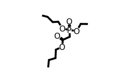 CCCCOC(=O)CP(=O)(OCC)OCCCC